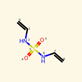 C=CNS(=O)(=O)NC=C